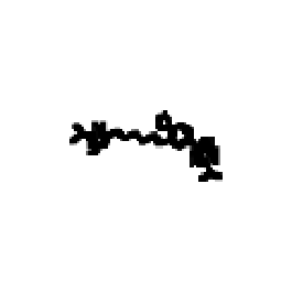 COc1ccc(-n2nnc(C(C)C)n2)cc1/C=C/CCCCc1csc(C(C)C)n1